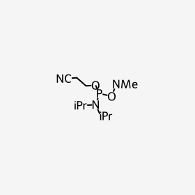 CNOP(OCCC#N)N(C(C)C)C(C)C